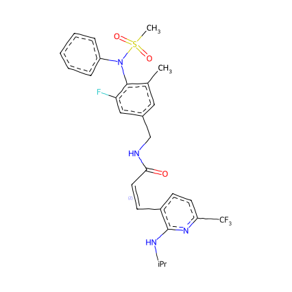 Cc1cc(CNC(=O)/C=C\c2ccc(C(F)(F)F)nc2NC(C)C)cc(F)c1N(c1ccccc1)S(C)(=O)=O